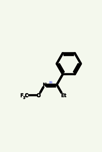 CC/C(=N\OC(F)(F)F)c1ccccc1